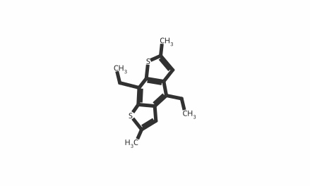 CCc1c2cc(C)sc2c(CC)c2sc(C)cc12